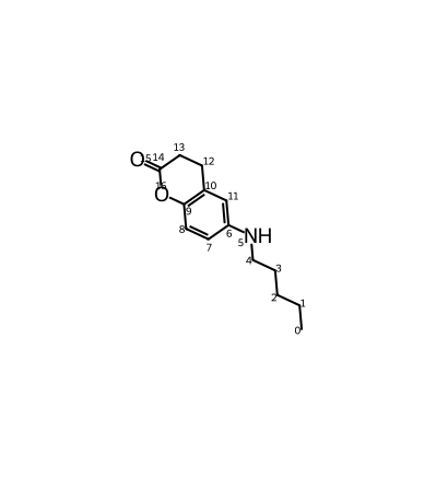 CCCCCNc1ccc2c(c1)CCC(=O)O2